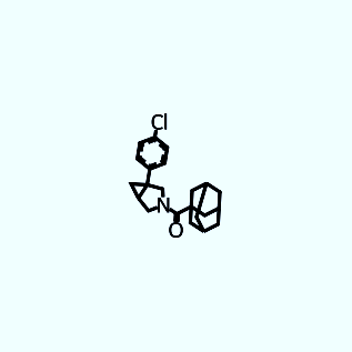 O=C(N1CC2CC2(c2ccc(Cl)cc2)C1)C12CC3CC(CC(C3)C1)C2